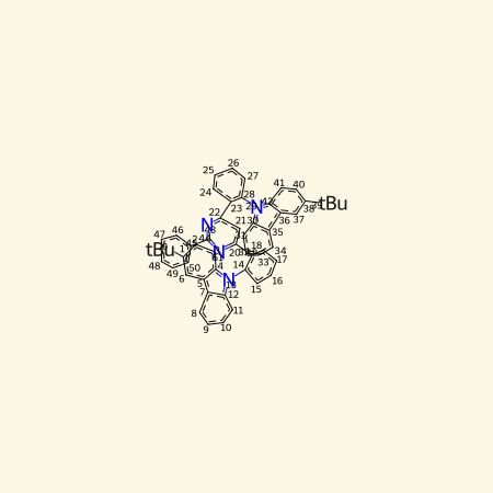 CC(C)(C)c1ccc2c(c1)c1ccccc1n2-c1ccccc1-c1cc(-c2ccccc2-n2c3ccccc3c3cc(C(C)(C)C)ccc32)nc(-c2ccccc2)n1